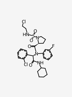 O=C(NC1CCCCC1)[C@@H](c1ccccc1Cl)N(C(=O)[C@@H]1CCCN1S(=O)(=O)NCCCl)c1cccc(F)c1